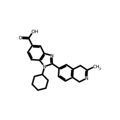 CC1=NCc2ccc(-c3nc4cc(C(=O)O)ccc4n3C3CCCCC3)cc2C1